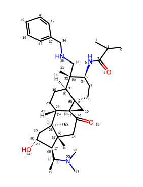 CC(C)C(=O)N[C@H]1CC[C@]23C[C@]24C(=O)C[C@]2(C)[C@@H]([C@H](C)N(C)C)[C@H](O)C[C@@]2(C)[C@@H]4CC[C@H]3[C@]1(C)CNCc1ccccc1